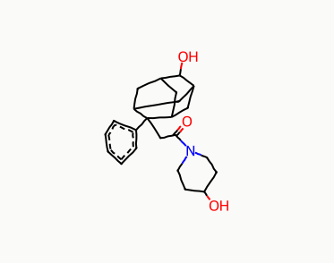 O=C(CC1(c2ccccc2)C2CC3CC1CC(C2)C3O)N1CCC(O)CC1